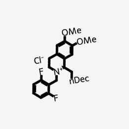 CCCCCCCCCCCC1=[N+](Cc2c(F)cccc2F)CCc2cc(OC)c(OC)cc21.[Cl-]